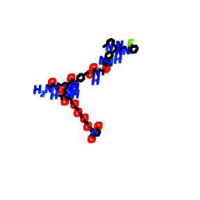 Cc1cccc(-c2nc(CNc3ccccc3F)[nH]c2-c2ccc3ncc(O[C@@H](C)CNC(=O)OCc4ccc(NC(=O)C(CCCNC(N)=O)NC(=O)C(NC(=O)CCOCCOCCOCCOCCN5C(=O)C=CC5=O)C(C)C)cc4)nc3c2)n1